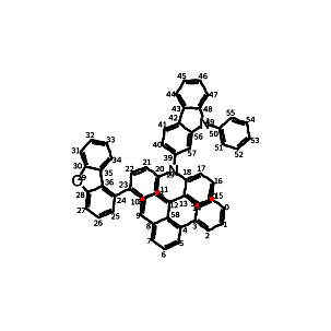 c1ccc(-c2cccc3cccc(-c4ccccc4N(c4ccc(-c5cccc6oc7ccccc7c56)cc4)c4ccc5c6ccccc6n(-c6ccccc6)c5c4)c23)cc1